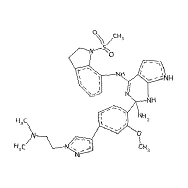 COc1cc(-c2cnn(CCN(C)C)c2)ccc1C1(N)N=C(Nc2cccc3c2N(S(C)(=O)=O)CC3)c2cc[nH]c2N1